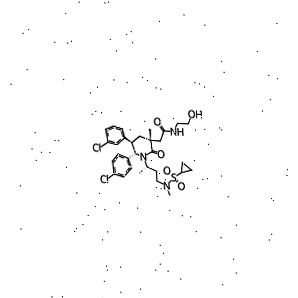 C[C@@H](CCN(C)S(=O)(=O)C1CC1)N1C(=O)[C@@](C)(CC(=O)NCCO)C[C@H](c2cccc(Cl)c2)[C@H]1c1ccc(Cl)cc1